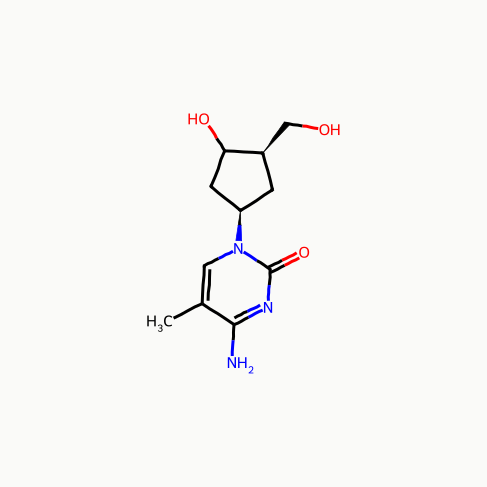 Cc1cn([C@H]2CC(O)[C@@H](CO)C2)c(=O)nc1N